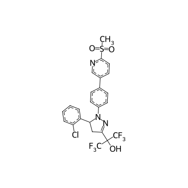 CS(=O)(=O)c1ccc(-c2ccc(N3N=C(C(O)(C(F)(F)F)C(F)(F)F)CC3c3ccccc3Cl)cc2)cn1